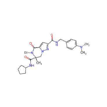 CCN1C(=O)c2cc(C(=O)NCc3ccc(N(C)C)cc3)nn2CC1(C)C(=O)NC1CCCC1